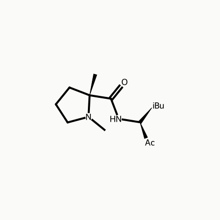 CC[C@H](C)[C@H](NC(=O)[C@@]1(C)CCCN1C)C(C)=O